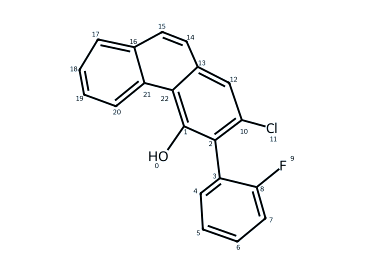 Oc1c(-c2ccccc2F)c(Cl)cc2ccc3ccccc3c12